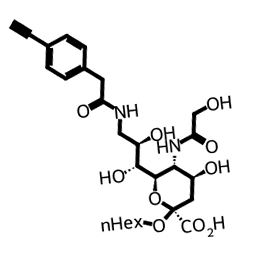 C#Cc1ccc(CC(=O)NC[C@@H](O)[C@@H](O)[C@@H]2O[C@@](OCCCCCC)(C(=O)O)C[C@H](O)[C@H]2NC(=O)CO)cc1